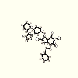 CCc1nc2c(c(=O)n(CC)c(=O)n2CCc2ccccc2)n1Cc1ccc(-c2ccccc2-c2nnn[nH]2)cc1